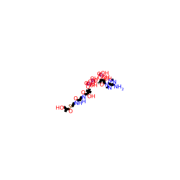 CC(CO)C(=O)SCCNC(=O)CCNC(=O)C(O)C(C)(C)COP(=O)(O)OP(=O)(O)OC[C@H]1O[C@@H](n2cnc3c(N)ncnc32)[C@H](O)[C@@H]1OP(=O)(O)O